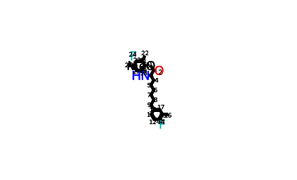 COC(=O)C(CCCCCCc1ccc(F)c(C)c1)Nc1cc(C)c(F)c(C)c1